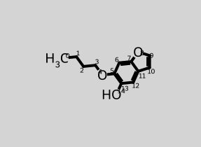 CCCCOc1cc2occc2cc1O